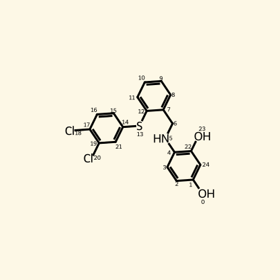 Oc1ccc(NCc2ccccc2Sc2ccc(Cl)c(Cl)c2)c(O)c1